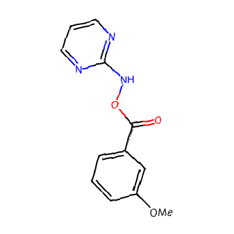 COc1cccc(C(=O)ONc2ncccn2)c1